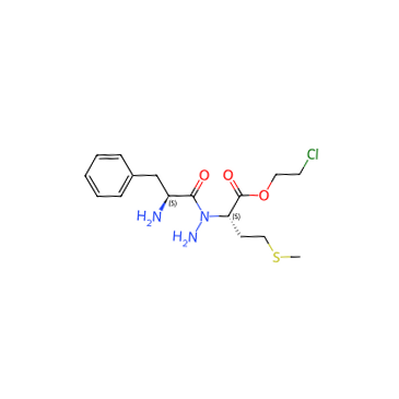 CSCC[C@@H](C(=O)OCCCl)N(N)C(=O)[C@@H](N)Cc1ccccc1